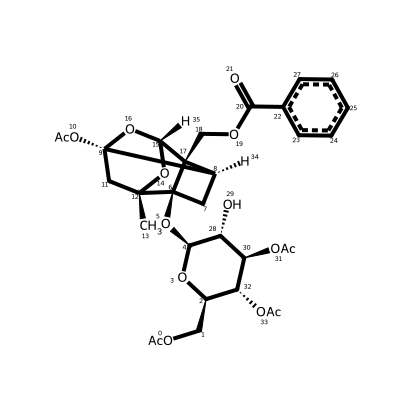 CC(=O)OC[C@H]1O[C@@H](O[C@@]23C[C@H]4[C@@]5(OC(C)=O)C[C@]2(C)O[C@H](O5)[C@]43COC(=O)c2ccccc2)[C@H](O)[C@@H](OC(C)=O)[C@@H]1OC(C)=O